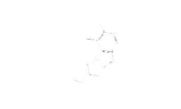 O=C(O)NC1Cc2cc3ccc(Cl)c(Cl)c3n2C1